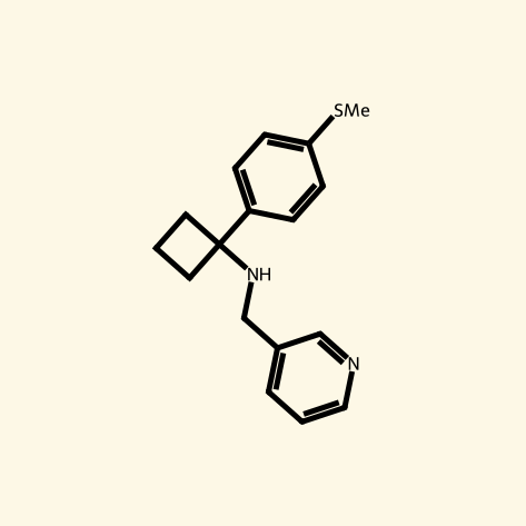 CSc1ccc(C2(NCc3cccnc3)CCC2)cc1